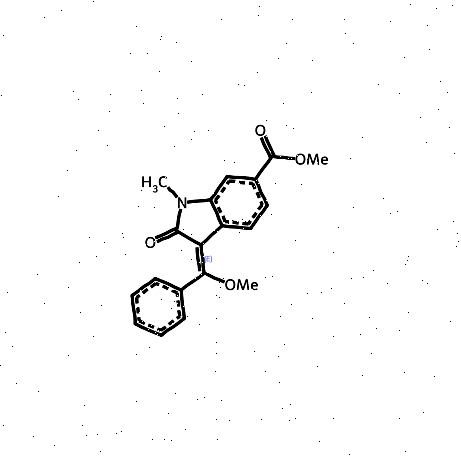 COC(=O)c1ccc2c(c1)N(C)C(=O)/C2=C(/OC)c1ccccc1